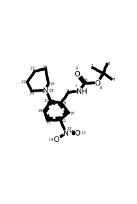 CC(C)(C)OC(=O)NCc1cc([N+](=O)[O-])ccc1N1CCCCC1